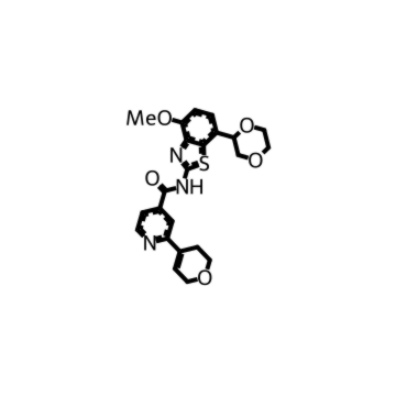 COc1ccc(C2COCCO2)c2sc(NC(=O)c3ccnc(C4=CCOCC4)c3)nc12